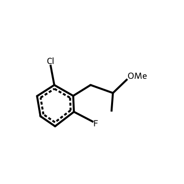 COC(C)Cc1c(F)cccc1Cl